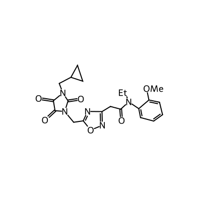 CCN(C(=O)Cc1noc(CN2C(=O)C(=O)N(CC3CC3)C2=O)n1)c1ccccc1OC